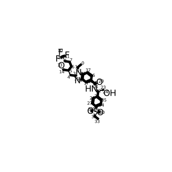 CCn1c(C[C@@H]2CC[C@@H](C(F)(F)F)OC2)nc2cc(C(=O)N[C@@H](CO)c3ccc(S(=O)(=O)CC)cc3)ccc21